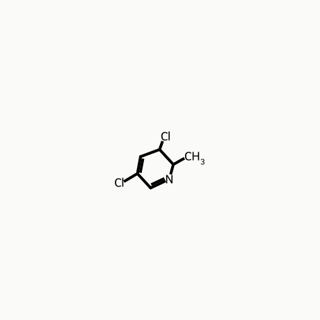 CC1N=CC(Cl)=CC1Cl